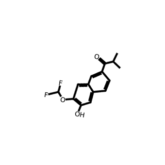 CC(C)C(=O)c1ccc2cc(O)c(OC(F)F)cc2c1